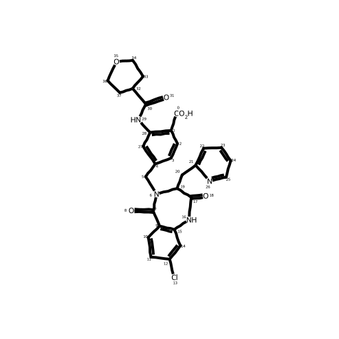 O=C(O)c1ccc(CN2C(=O)c3ccc(Cl)cc3NC(=O)C2Cc2ccccn2)cc1NC(=O)C1CCOCC1